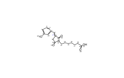 COc1cccc(/C=C2\CC(=O)N(CCCCCCC(=O)O)C2=O)c1